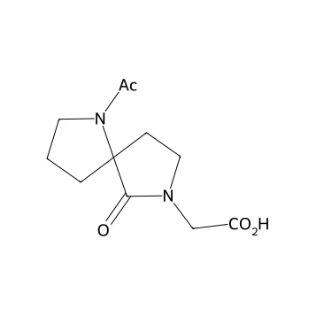 CC(=O)N1CCCC12CCN(CC(=O)O)C2=O